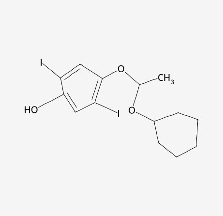 CC(Oc1cc(I)c(O)cc1I)OC1CCCCC1